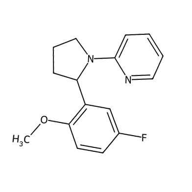 COc1ccc(F)cc1C1CCCN1c1ccccn1